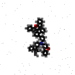 CC1(C)c2ccccc2-c2ccc(N(c3cccc(-c4cccc5c4-c4ccccc4C54c5ccc6ccccc6c5Oc5c4ccc4ccccc54)c3)c3ccc4oc5ccccc5c4c3)cc21